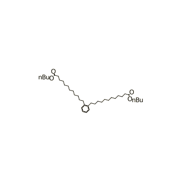 CCCCOC(=O)CCCCCCCCCCCc1ccccc1CCCCCCCCCCCC(=O)OCCCC